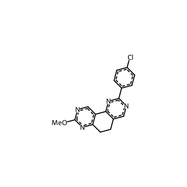 COc1ncc2c(n1)CCc1cnc(-c3ccc(Cl)cc3)nc1-2